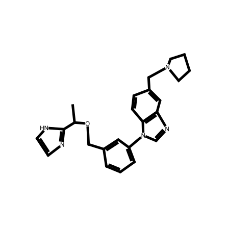 CC(OCc1cccc(-n2cnc3cc(CN4CCCC4)ccc32)c1)c1ncc[nH]1